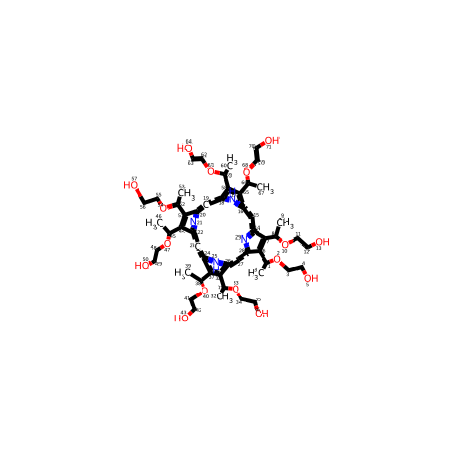 CC(OCCO)C1=C(C(C)OCCO)c2cc3[nH]c(cc4nc(cc5[nH]c(cc1n2)c(C(C)OCCO)c5C(C)OCCO)C(C(C)OCCO)=C4C(C)OCCO)c(C(C)OCCO)c3C(C)OCCO